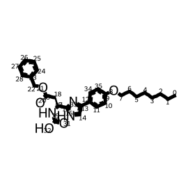 CCCCCCCCOc1ccc(-c2c[nH]c([C@H](CC(=O)OCc3ccccc3)NC(=O)O)n2)cc1